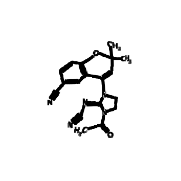 CC(=O)N1CCN(C2=CC(C)(C)Oc3ccc(C#N)cc32)C1=NC#N